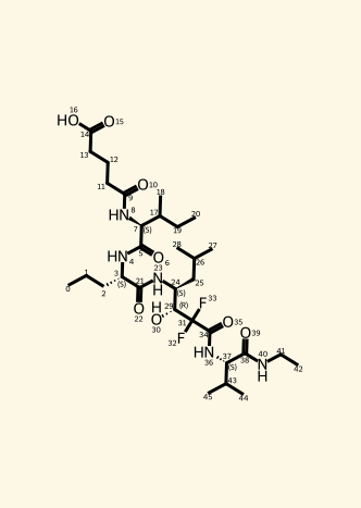 CCC[C@H](NC(=O)[C@@H](NC(=O)CCCC(=O)O)C(C)CC)C(=O)N[C@@H](CC(C)C)[C@@H](O)C(F)(F)C(=O)N[C@H](C(=O)NCC)C(C)C